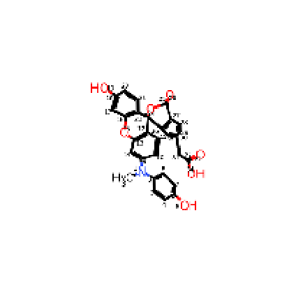 CN(c1ccc(O)cc1)c1ccc2c(c1)Oc1cc(O)ccc1C21OC(=O)c2ccc(CC(=O)O)cc21